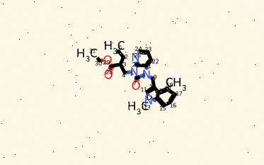 CCCC(Cn1c(=O)n(Cc2cn(C)c3cccc(C)c23)c2cccnc21)C(=O)OCC